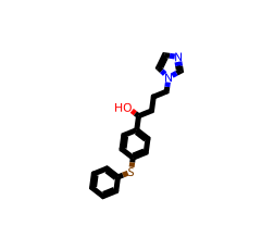 OC(CCCn1ccnc1)c1ccc(Sc2ccccc2)cc1